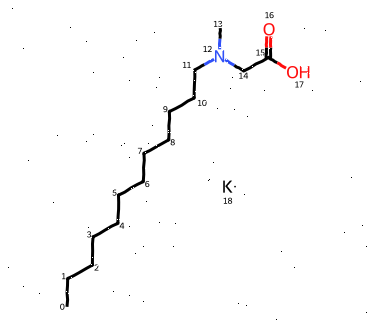 CCCCCCCCCCCCN(C)CC(=O)O.[K]